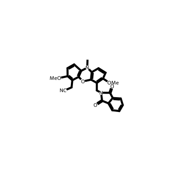 COc1ccc2c(c1CC#N)Oc1c(ccc(OC)c1CN1C(=O)c3ccccc3C1=O)N2C